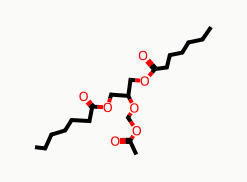 CCCCCCC(=O)OCC(COC(=O)CCCCCC)OCOC(C)=O